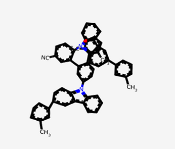 Cc1cccc(-c2ccc3c(c2)c2ccccc2n3-c2ccc(-c3c(C(F)(F)F)cccc3C(F)(F)F)c(-c3cc(C#N)ccc3-n3c4ccccc4c4cc(-c5cccc(C)c5)ccc43)c2)c1